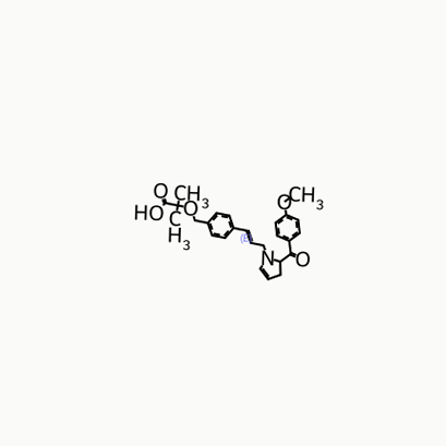 COc1ccc(C(=O)C2CC=CN2C/C=C/c2ccc(COC(C)(C)C(=O)O)cc2)cc1